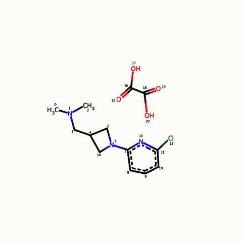 CN(C)CC1CN(c2cccc(Cl)n2)C1.O=C(O)C(=O)O